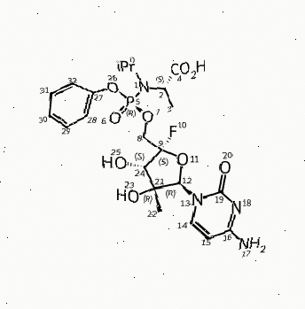 CC(C)N([C@@H](C)C(=O)O)[P@@](=O)(OC[C@@]1(F)O[C@@H](n2ccc(N)nc2=O)[C@](C)(O)[C@@H]1O)Oc1ccccc1